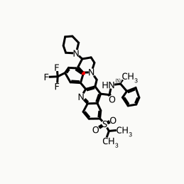 CC(C)S(=O)(=O)c1ccc2nc(-c3cccc(C(F)(F)F)c3)c(CN3CCC(N4CCCCC4)CC3)c(C(=O)N[C@@H](C)c3ccccc3)c2c1